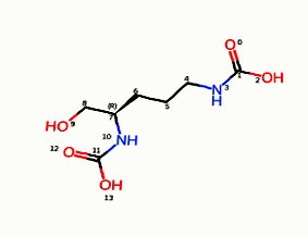 O=C(O)NCCC[C@H](CO)NC(=O)O